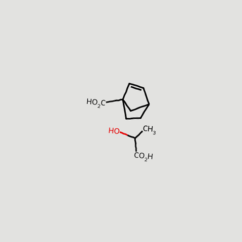 CC(O)C(=O)O.O=C(O)C12C=CC(CC1)C2